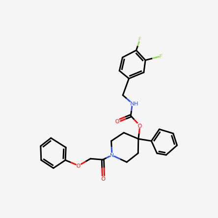 O=C(NCc1ccc(F)c(F)c1)OC1(c2ccccc2)CCN(C(=O)COc2ccccc2)CC1